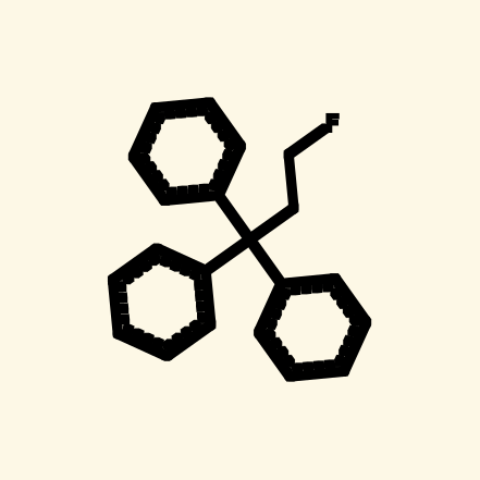 FCCC(c1ccccc1)(c1ccccc1)c1ccccc1